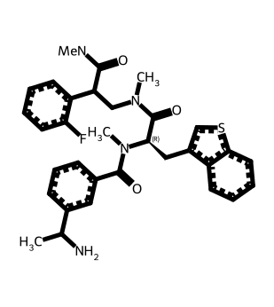 CNC(=O)C(CN(C)C(=O)[C@@H](Cc1csc2ccccc12)N(C)C(=O)c1cccc(C(C)N)c1)c1ccccc1F